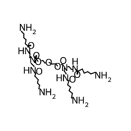 NCCCCCC(=O)NCCN(CCNC(=O)CCCCCN)C(=O)OCCOCCOC(=O)N(CCNC(=O)CCCCCN)CCNC(=O)CCCCCN